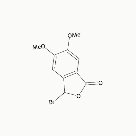 COc1cc2c(cc1OC)C(Br)OC2=O